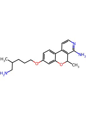 CC(CN)CCCOc1ccc2c(c1)OC(C)c1c-2ccnc1N